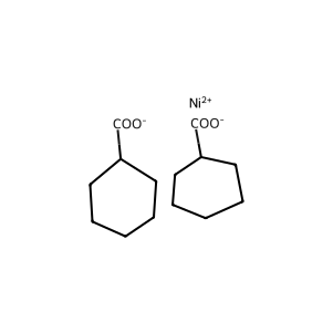 O=C([O-])C1CCCCC1.O=C([O-])C1CCCCC1.[Ni+2]